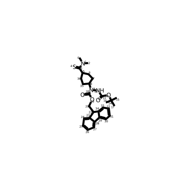 CN(C)C(=S)C1CCC(N(NC(=O)OC(C)(C)C)C(=O)OCC2c3ccccc3-c3ccccc32)CC1